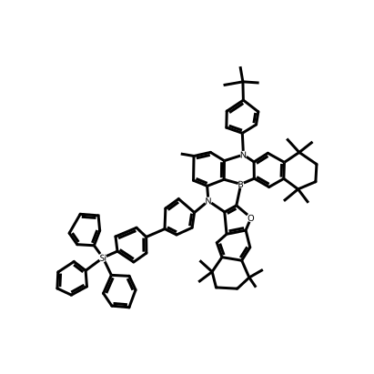 Cc1cc2c3c(c1)N(c1ccc(-c4ccc([Si](c5ccccc5)(c5ccccc5)c5ccccc5)cc4)cc1)c1c(oc4cc5c(cc14)C(C)(C)CCC5(C)C)B3c1cc3c(cc1N2c1ccc(C(C)(C)C)cc1)C(C)(C)CCC3(C)C